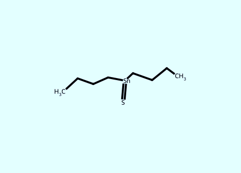 CCC[CH2][Sn](=[S])[CH2]CCC